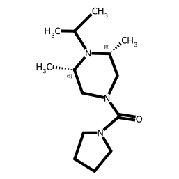 CC(C)N1[C@H](C)CN(C(=O)N2CCCC2)C[C@@H]1C